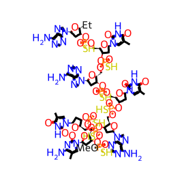 CC[C@H]1O[C@@H](n2cnc3c(N)ncnc32)C[C@H]1OP(=O)(S)OC[C@H]1O[C@@H](n2cc(C)c(=O)[nH]c2=O)C[C@H]1OP(=O)(S)OC[C@H]1O[C@@H](n2cnc3c(N)ncnc32)C[C@H]1OP(=O)(S)OC[C@H]1O[C@@H](n2cc(C)c(=O)[nH]c2=O)C[C@H]1OP(=O)(S)OC[C@H]1O[C@@H](n2cnc3c(N)ncnc32)C[C@H]1OP(=O)(S)OC[C@H]1O[C@@H](n2cc(C)c(=O)[nH]c2=O)C[C@H]1OP(=O)(S)OC[C@H]1O[C@@H](n2cc(C)c(N)nc2=O)C[C@H]1OP(=O)(S)OC